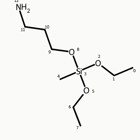 CCO[Si](C)(OCC)OCCCN